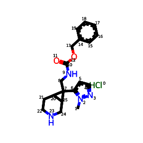 Cl.Cn1nccc1C1(CNC(=O)OCc2ccccc2)C2CCNCC21